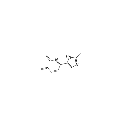 C=C/C=C\C(=N/C=C)c1cnc(C)[nH]1